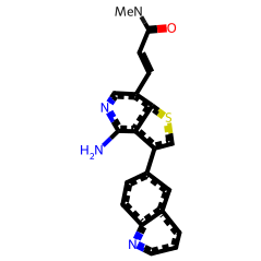 CNC(=O)C=Cc1cnc(N)c2c(-c3ccc4ncccc4c3)csc12